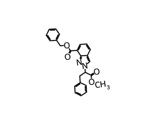 COC(=O)C(Cc1ccccc1)n1cc2cccc(C(=O)OCc3ccccc3)c2n1